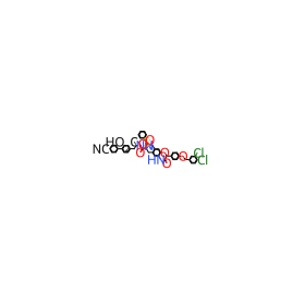 N#Cc1ccc(-c2ccc(C[C@H](NC(=O)[C@@H]3Cc4cc5c(cc4CN3S(=O)(=O)c3ccccc3)OC(c3ccc(OCc4ccc(Cl)c(Cl)c4)cc3)C(=O)N5)C(=O)O)cc2)cc1